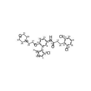 Cn1ncc(Cl)c1-c1cc(NC(=O)CCc2c(Cl)cccc2Cl)ccc1OCCN1CCOCC1